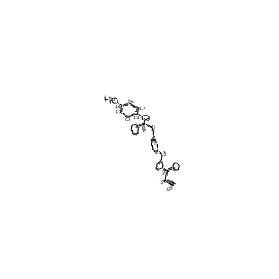 C=CC(=O)OCOCC(=O)Oc1ccc(O)cc1